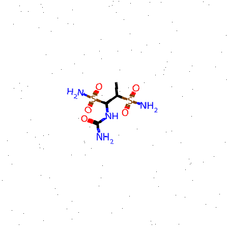 CC(C(NC(N)=O)S(N)(=O)=O)S(N)(=O)=O